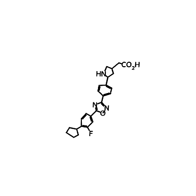 O=C(O)CC1CNC(c2ccc(-c3noc(-c4ccc(C5CCCC5)c(F)c4)n3)cc2)C1